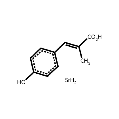 CC(=Cc1ccc(O)cc1)C(=O)O.[SrH2]